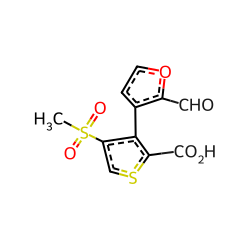 CS(=O)(=O)c1csc(C(=O)O)c1-c1ccoc1C=O